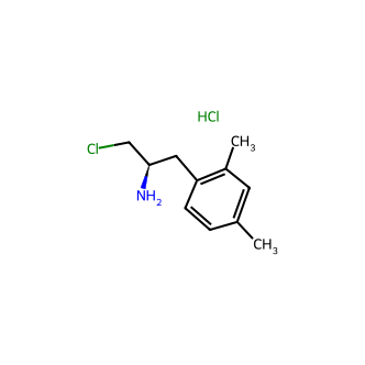 Cc1ccc(C[C@@H](N)CCl)c(C)c1.Cl